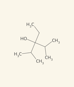 CCC(O)(C(C)C)C(C)C